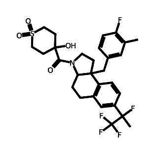 Cc1cc(CC23CCN(C(=O)C4(O)CCS(=O)(=O)CC4)C2CCc2cc(C(C)(F)C(F)(F)F)ccc23)ccc1F